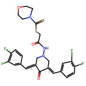 O=C(CSC(=S)N1CCOCC1)NN1C/C(=C\c2ccc(F)c(F)c2)C(=O)/C(=C/c2ccc(F)c(F)c2)C1